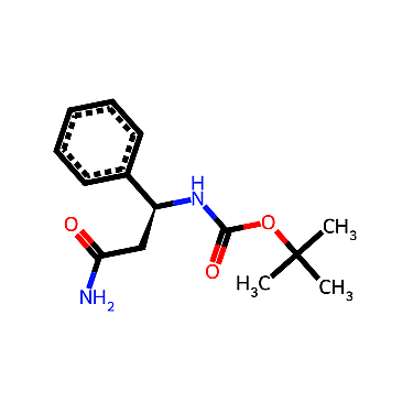 CC(C)(C)OC(=O)N[C@@H](CC(N)=O)c1ccccc1